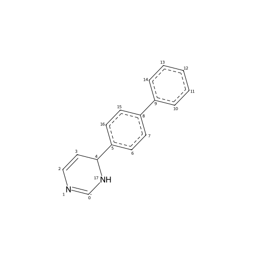 [C]1=NC=CC(c2ccc(-c3ccccc3)cc2)N1